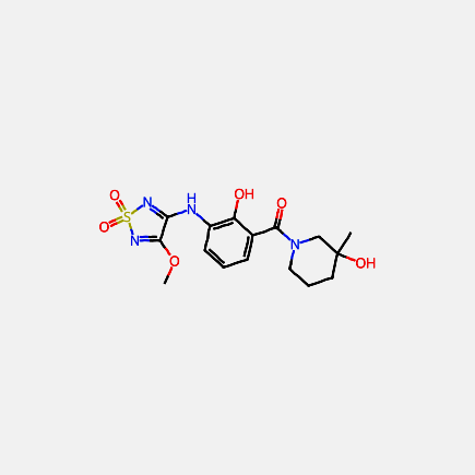 COC1=NS(=O)(=O)N=C1Nc1cccc(C(=O)N2CCCC(C)(O)C2)c1O